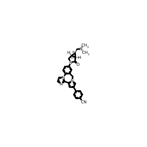 CN(C)C[C@@H]1[C@@H]2CN(c3ccc4c(c3)Cn3cc(-c5ccc(C#N)cc5)cc3-c3nccn3-4)C(=O)[C@H]12